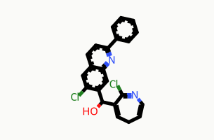 OC(C1=CCC=CN=C1Cl)c1cc2nc(-c3ccccc3)ccc2cc1Cl